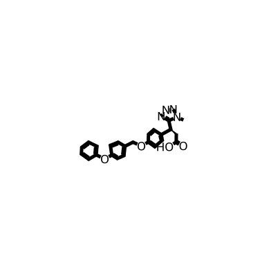 Cn1nnnc1[C@@H](CC(=O)O)c1ccc(OCc2ccc(Oc3ccccc3)cc2)cc1